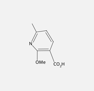 COc1nc(C)ccc1C(=O)O